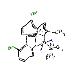 CC1=Cc2c(Br)cccc2[CH]1[Zr]([I])([I])([CH]1C(C)=Cc2c(Br)cccc21)[SiH](C)C